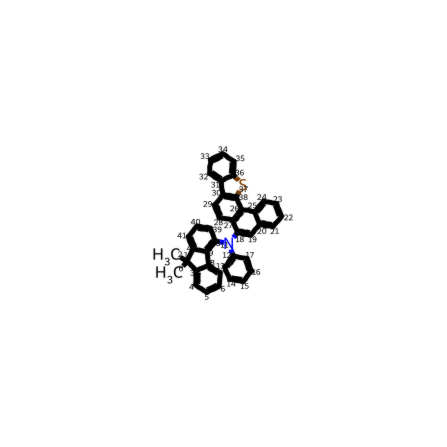 CC1(C)c2ccccc2-c2c(N(c3ccccc3)c3cc4ccccc4c4c3ccc3c5ccccc5sc34)cccc21